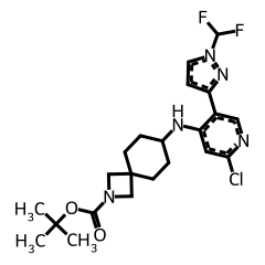 CC(C)(C)OC(=O)N1CC2(CCC(Nc3cc(Cl)ncc3-c3ccn(C(F)F)n3)CC2)C1